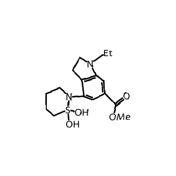 CCN1CCc2c1cc(C(=O)OC)cc2N1CCCCS1(O)O